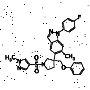 Cc1cc2c(cnn2-c2ccc(F)cc2)cc1C1(COc2ccccc2)CCN(S(=O)(=O)c2cnn(C)c2)C1